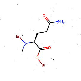 CN(Br)[C@@H](CCC(N)=O)C(=O)OBr